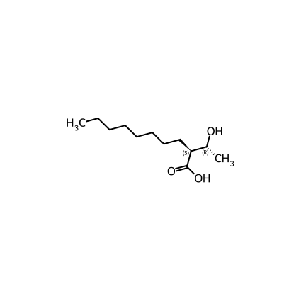 CCCCCCCC[C@H](C(=O)O)[C@@H](C)O